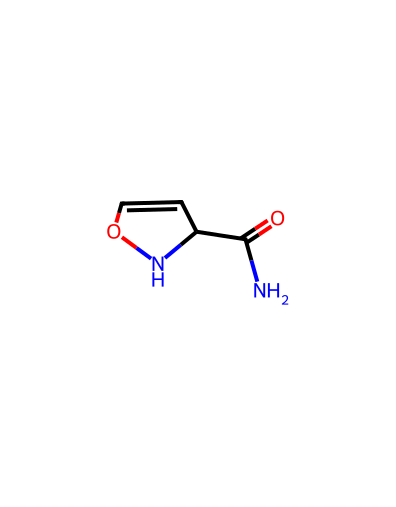 NC(=O)C1C=CON1